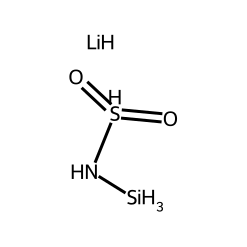 O=[SH](=O)N[SiH3].[LiH]